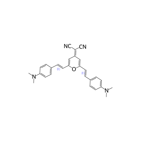 CN(C)c1ccc(/C=C/C2=CC(=C(C#N)C#N)C=C(/C=C/c3ccc(N(C)C)cc3)O2)cc1